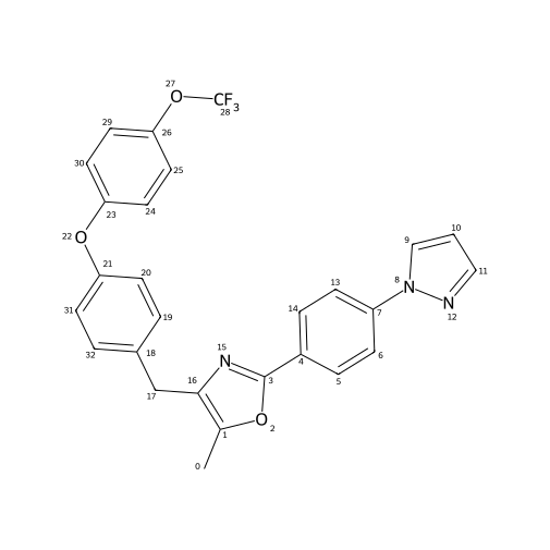 Cc1oc(-c2ccc(-n3cccn3)cc2)nc1Cc1ccc(Oc2ccc(OC(F)(F)F)cc2)cc1